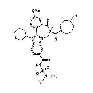 COc1ccc2c(c1)[C@@H]1C[C@]1(C(=O)N1CCCN(C)CC1)Cn1c-2c(C2CCCCC2)c2ccc(C(=O)NS(=O)(=O)N(C)C)cc21